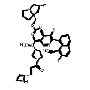 C#Cc1c(F)ccc2cccc(-c3ncc4c(N(C)[C@@H]5CCN(C(=O)/C=C/[C@H]6CCN6)C5)nc(OC[C@@]56CCCN5C[C@H](F)C6)nc4c3F)c12